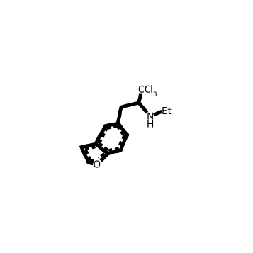 CCNC(Cc1ccc2occc2c1)C(Cl)(Cl)Cl